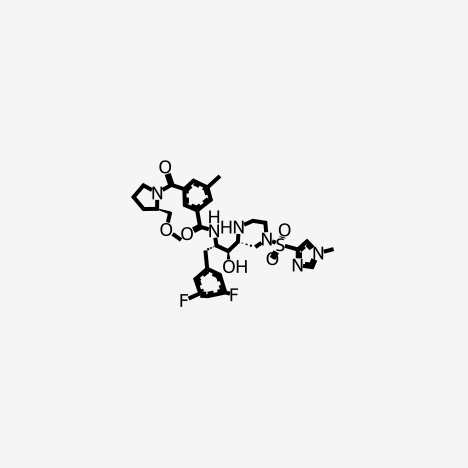 COC[C@H]1CCCN1C(=O)c1cc(C)cc(C(=O)N[C@@H](Cc2cc(F)cc(F)c2)[C@H](O)[C@H]2CN(S(=O)(=O)c3cn(C)cn3)CCN2)c1